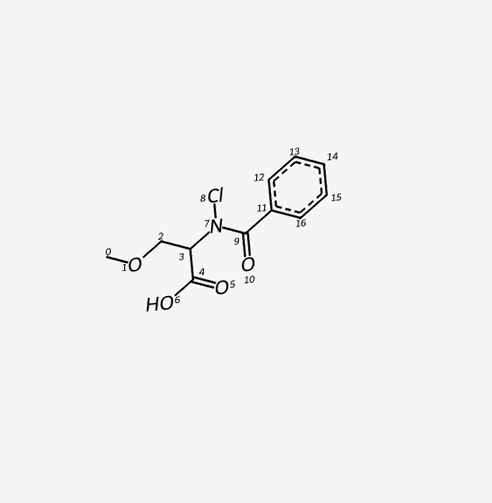 COCC(C(=O)O)N(Cl)C(=O)c1ccccc1